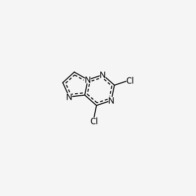 Clc1nc(Cl)c2nccn2n1